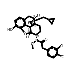 CON(C(=O)Cc1ccc(Cl)c(Cl)c1)[C@H]1CC[C@@]2(O)[C@H]3Cc4ccc(O)c5c4[C@@]2(CCN3CC2CC2)[C@H]1O5